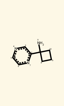 NC1(c2cnccn2)CCC1